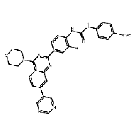 CC(=O)Nc1ccc(NC(=O)Nc2ccc(-c3nc(N4CCOCC4)c4ccc(-c5cncnc5)cc4n3)cc2F)cc1